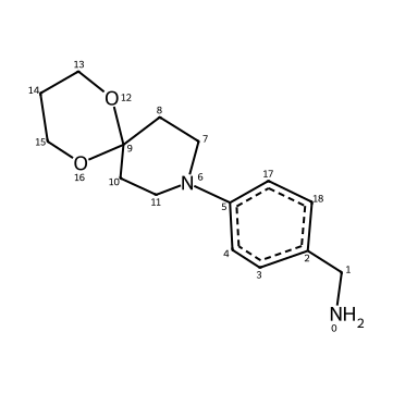 NCc1ccc(N2CCC3(CC2)OCCCO3)cc1